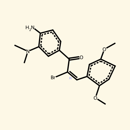 COc1ccc(OC)c(/C=C(/Br)C(=O)c2ccc(N)c(N(C)C)c2)c1